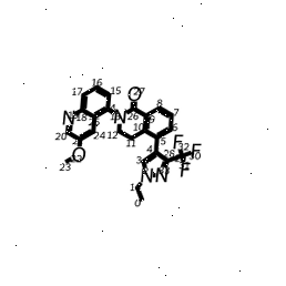 CCn1cc(-c2cccc3c2CCN(c2cccc4ncc(OC)cc24)C3=O)c(C(F)(F)F)n1